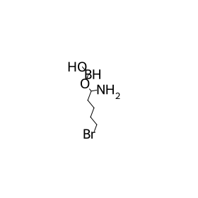 NC(CCCCBr)OBO